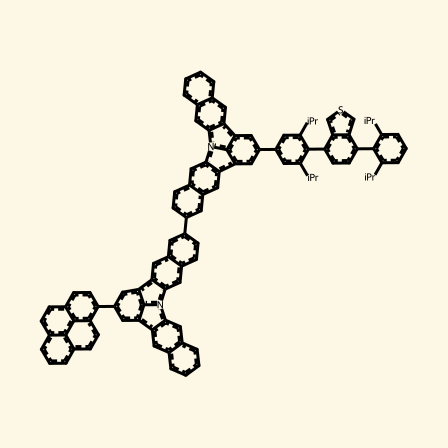 CC(C)c1cccc(C(C)C)c1-c1ccc(-c2c(C(C)C)cc(-c3cc4c5cc6ccccc6cc5n5c6cc7ccc(-c8ccc9cc%10c(cc9c8)c8cc(-c9ccc%11ccc%12cccc%13ccc9c%11c%12%13)cc9c%11cc%12ccccc%12cc%11n%10c98)cc7cc6c(c3)c45)cc2C(C)C)c2cscc12